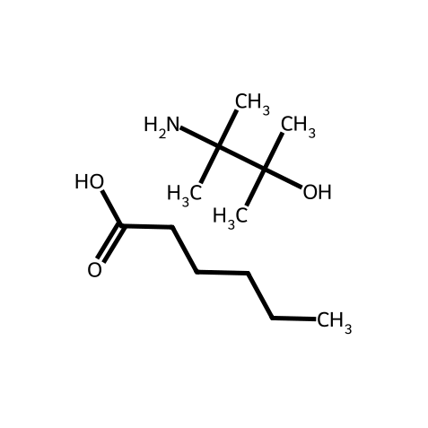 CC(C)(N)C(C)(C)O.CCCCCC(=O)O